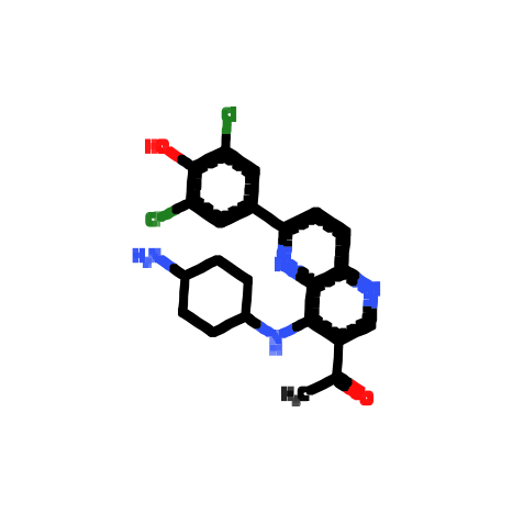 CC(=O)c1cnc2ccc(-c3cc(Cl)c(O)c(Cl)c3)nc2c1NC1CCC(N)CC1